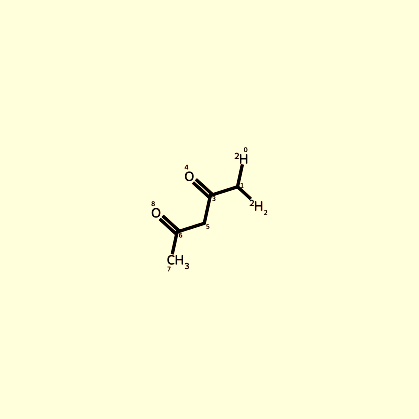 [2H]C([2H])C(=O)CC(C)=O